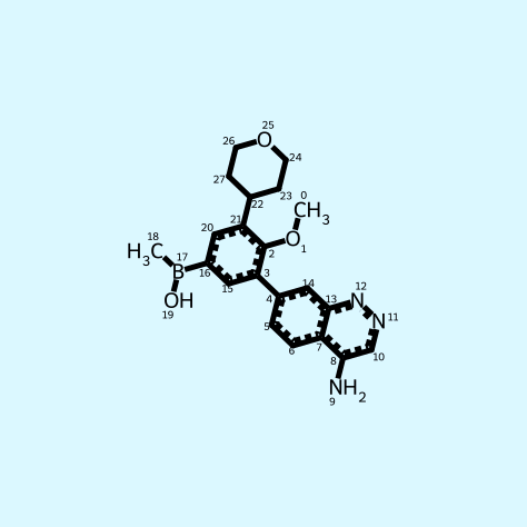 COc1c(-c2ccc3c(N)cnnc3c2)cc(B(C)O)cc1C1CCOCC1